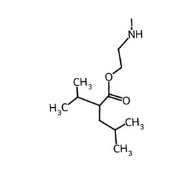 CC(C)CC(C(=O)OCCNI)C(C)C